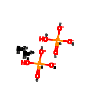 O=P([O-])([O-])O.O=P([O-])([O-])O.[Ba+2].[Ba+2]